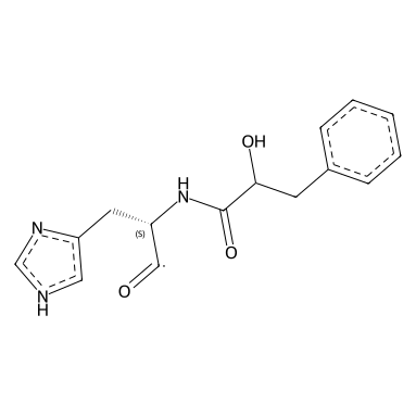 O=[C][C@H](Cc1c[nH]cn1)NC(=O)C(O)Cc1ccccc1